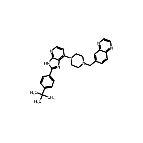 CC(C)(C)c1ccc(-c2nc3c(N4CCN(Cc5ccc6nccnc6c5)CC4)ccnc3[nH]2)cc1